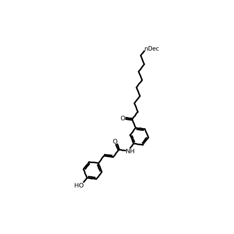 CCCCCCCCCCCCCCCCCCC(=O)c1cccc(NC(=O)C=Cc2ccc(O)cc2)c1